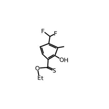 CCOC(=S)c1ccc(C(F)F)c(C)c1O